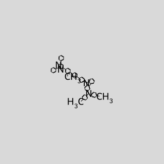 Cc1ccc(N(c2ccc(C)cc2)c2ccc3c(c2)c2ccccc2n3-c2ccc(-c3ccc(-c4ccc(-c5cc(-c6ccccc6)nc(-c6ccccc6)n5)cc4C)cc3)cc2)cc1